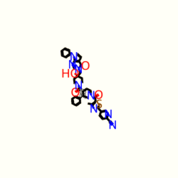 Cc1nc(-c2ccc(C#N)nc2)sc1C(=O)N1CC[C@@H](C(=O)N2CCC(O)(Cn3cnc4c(ccn4-c4ccccc4)c3=O)CC2)[C@H](c2ccccc2)C1